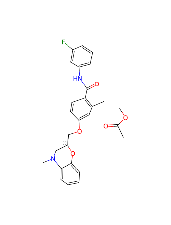 COC(C)=O.Cc1cc(OC[C@@H]2CN(C)c3ccccc3O2)ccc1C(=O)Nc1cccc(F)c1